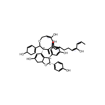 C=C1C(/C=C/CC/C=C(O)\C=C/C)=C\C(O)=C/COC(C2=CCC(O)C=C2)[C@H]1C1=C2C(CC(O)=C1)O[C@@H](c1ccc(O)cc1)[C@@H]2c1cc(O)cc(O)c1